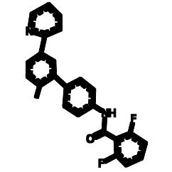 Cc1ccc(-c2ccccn2)cc1-c1ccc(NC(=O)c2c(F)cccc2F)cc1